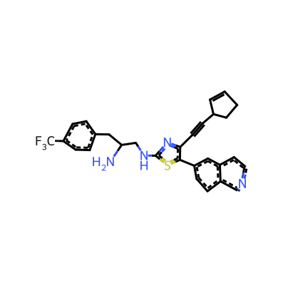 NC(CNc1nc(C#CC2C=CCC2)c(-c2ccc3cnccc3c2)s1)Cc1ccc(C(F)(F)F)cc1